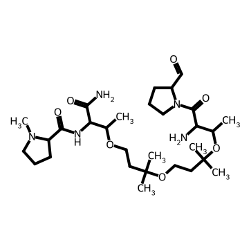 CC(OC(C)(C)CCOC(C)(C)CCOC(C)C(NC(=O)C1CCCN1C)C(N)=O)C(N)C(=O)N1CCCC1C=O